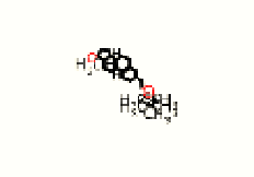 CC(C)(C)[Si](C)(C)OC=Cc1ccc2c(c1)CC[C@@H]1[C@@H]2CC[C@]2(C)C(=O)CC[C@@H]12